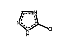 Clc1n[c]n[nH]1